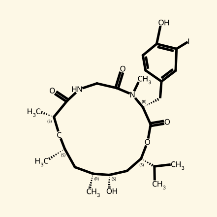 CC(C)[C@@H]1C[C@H](O)[C@H](C)C[C@H](C)C[C@H](C)C(=O)NCC(=O)N(C)[C@H](Cc2ccc(O)c(I)c2)C(=O)O1